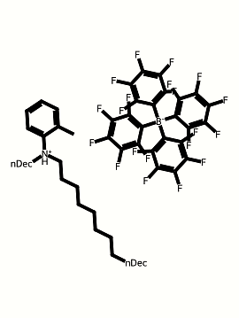 CCCCCCCCCCCCCCCCCC[NH+](CCCCCCCCCC)c1ccccc1C.Fc1c(F)c(F)c([B-](c2c(F)c(F)c(F)c(F)c2F)(c2c(F)c(F)c(F)c(F)c2F)c2c(F)c(F)c(F)c(F)c2F)c(F)c1F